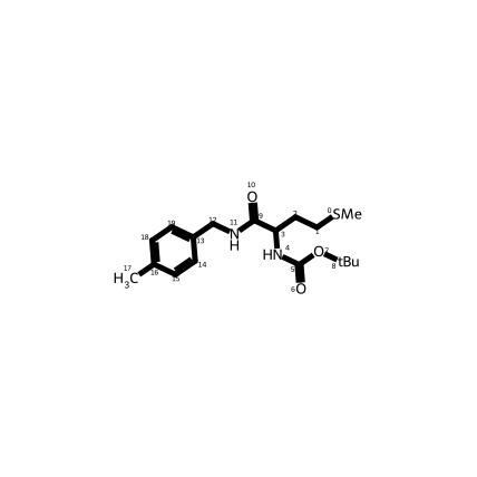 CSCCC(NC(=O)OC(C)(C)C)C(=O)NCc1ccc(C)cc1